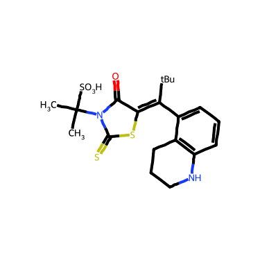 CC(C)(C)C(=C1SC(=S)N(C(C)(C)S(=O)(=O)O)C1=O)c1cccc2c1CCCN2